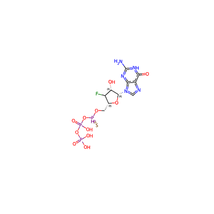 Nc1nc2c(ncn2[C@@H]2O[C@H](CO[PH](=S)OP(=O)(O)OP(=O)(O)O)C(F)[C@@H]2O)c(=O)[nH]1